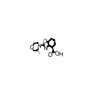 C[C@@H]1COCCN1c1nc2c(C(=O)O)cccc2o1